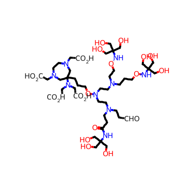 O=CCCN(CCC(=O)NC(CO)(CO)CO)CCN(CCN(CCCONC(CO)(CO)CO)CCONC(CO)(CO)CO)OCCCC1(N(CC(=O)O)CC(=O)O)CN(CC(=O)O)CCN(CC(=O)O)C1